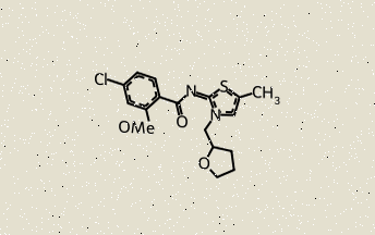 COc1cc(Cl)ccc1C(=O)N=c1sc(C)cn1CC1CCCO1